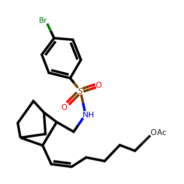 CC(=O)OCCCC/C=C\C1C2CCC(C2)C1CNS(=O)(=O)c1ccc(Br)cc1